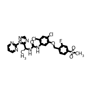 C[C@H](NC(=O)Nc1cc(OCc2ccc(S(C)(=O)=O)cc2F)c(Cl)cc1Cl)c1ncnn1-c1ncccn1